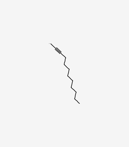 [CH2]C#CCCCCCCCCC